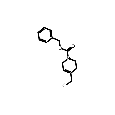 O=C(OCc1ccccc1)N1CC=C(CCl)CC1